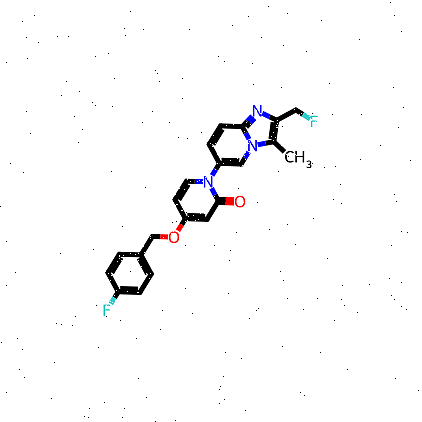 Cc1c(CF)nc2ccc(-n3ccc(OCc4ccc(F)cc4)cc3=O)cn12